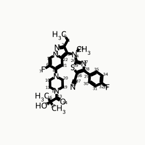 CCc1nn2cc(F)c(N3CCN(C(=O)C(C)(C)O)CC3)cc2c1N(C)c1nc(-c2ccc(F)cc2)c(C#N)s1